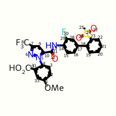 COc1ccc(-n2nc(C(F)(F)F)cc2C(=O)Nc2ccc(-c3ccccc3S(C)(=O)=O)cc2F)c(C(=O)O)c1